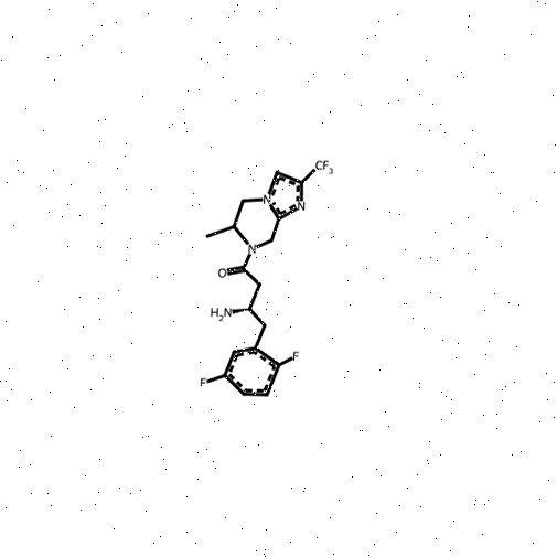 CC1Cn2cc(C(F)(F)F)nc2CN1C(=O)C[C@H](N)Cc1cc(F)ccc1F